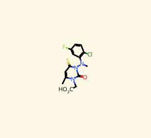 Cc1cc(=S)n(N(C)c2cc(F)ccc2Cl)c(=O)n1CC(=O)O